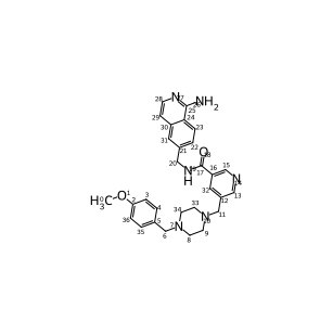 COc1ccc(CN2CCN(Cc3cncc(C(=O)NCc4ccc5c(N)nccc5c4)c3)CC2)cc1